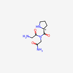 NCC(=O)N(CC(N)=O)C(=O)[C@@H]1CCCN1